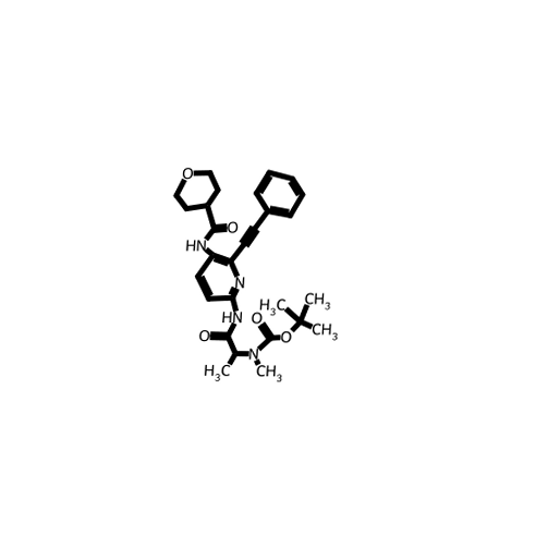 CC(C(=O)Nc1ccc(NC(=O)C2CCOCC2)c(C#Cc2ccccc2)n1)N(C)C(=O)OC(C)(C)C